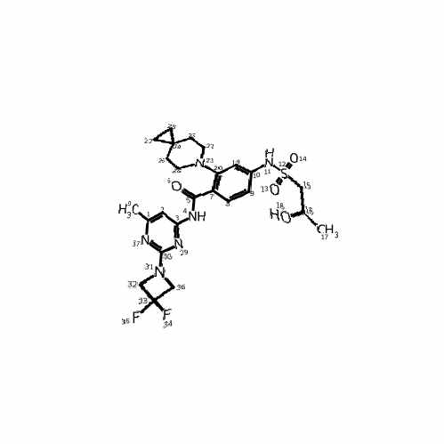 Cc1cc(NC(=O)c2ccc(NS(=O)(=O)C[C@@H](C)O)cc2N2CCC3(CC2)CC3)nc(N2CC(F)(F)C2)n1